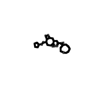 O=C(CC1CC2SSC2C(SSC2CCCC2)CCC1S)NC1CCCCCCCC1